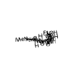 CCC1OC(c2cn(CCC(=O)NCCNC(=O)CCCCCNC)c(=O)[nH]c2=O)C(O)C1O